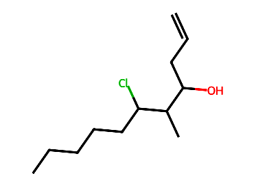 C=CCC(O)C(C)C(Cl)CCCCC